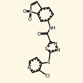 O=C(Nc1ccc2c(c1)S(=O)(=O)C=C2)c1nnc(Sc2ccncc2Cl)s1